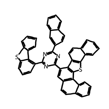 c1ccc2cc(-c3nc(-c4cccc5sc6ccccc6c45)nc(-c4cc5ccc6ccccc6c5c5sc6c7ccccc7ccc6c45)n3)ccc2c1